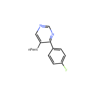 CCCCCc1cncnc1-c1ccc(F)cc1